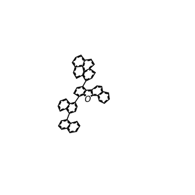 c1ccc2c(-c3ccc(-c4ccc(-c5ccc6ccc7cccc8ccc5c6c78)c5c4oc4c6ccccc6ccc45)c4ccccc34)cccc2c1